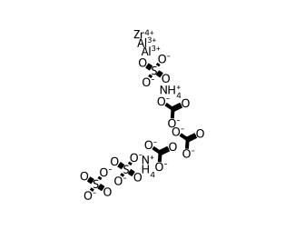 O=C([O-])[O-].O=C([O-])[O-].O=C([O-])[O-].O=S(=O)([O-])[O-].O=S(=O)([O-])[O-].O=S(=O)([O-])[O-].[Al+3].[Al+3].[NH4+].[NH4+].[Zr+4]